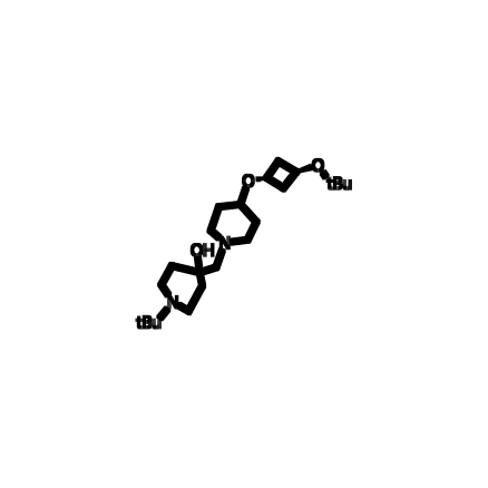 CC(C)(C)O[C@H]1C[C@H](OC2CCN(CC3(O)CCN(C(C)(C)C)CC3)CC2)C1